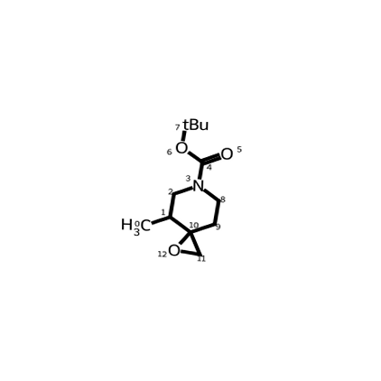 CC1CN(C(=O)OC(C)(C)C)CCC12CO2